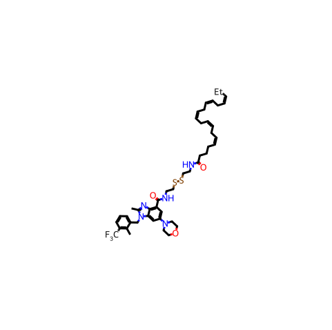 CC/C=C\C/C=C\C/C=C\C/C=C\C/C=C\CCCC(=O)NCCSSCCNC(=O)c1cc(N2CCOCC2)cc2c1nc(C)n2Cc1cccc(C(F)(F)F)c1C